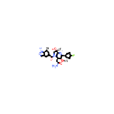 CCOc1c(CC(N)=O)cc([C@@](O)(CNC(=O)c2cc(CC)c3[nH]ncc3c2)C(F)(F)F)nc1-c1ccc(F)cc1